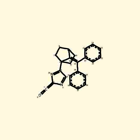 O=C=C1N=CC(C23CCC(CC2)C3=C(c2ccccc2)c2ccccc2)=N1